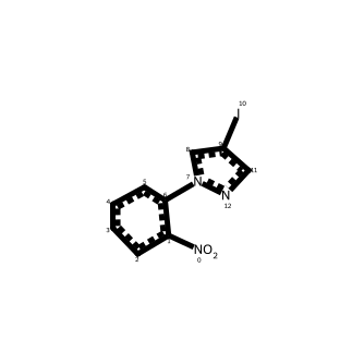 O=[N+]([O-])c1ccccc1-n1cc(I)cn1